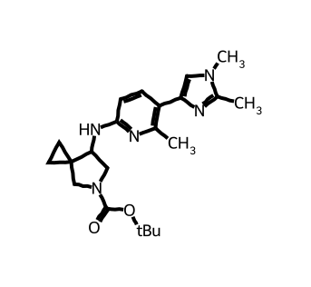 Cc1nc(NC2CN(C(=O)OC(C)(C)C)CC23CC3)ccc1-c1cn(C)c(C)n1